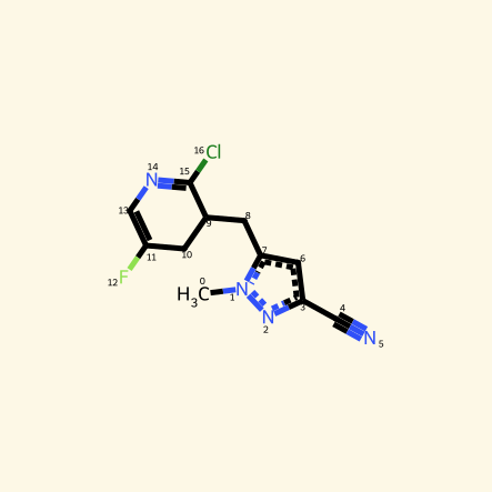 Cn1nc(C#N)cc1CC1CC(F)=CN=C1Cl